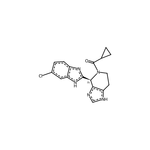 O=C(C1CC1)N1CCc2[nH]cnc2[C@H]1c1nc2ccc(Cl)cc2[nH]1